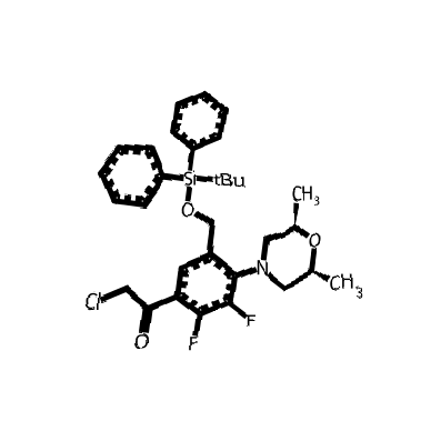 C[C@@H]1CN(c2c(CO[Si](c3ccccc3)(c3ccccc3)C(C)(C)C)cc(C(=O)CCl)c(F)c2F)C[C@H](C)O1